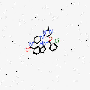 Cc1nccc(N2CCC(N(C)C(=O)c3ccc4c(c3)[C@H](NC(=O)c3ccccc3Cl)CC4)CC2)n1